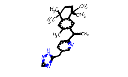 C=C(c1ccc(Cc2ncn[nH]2)cn1)c1cc2c(cc1C)C(C)(C)CCC2(C)C